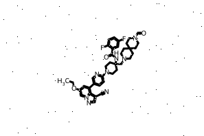 CCOc1cc(-c2ccc(N3CCC(CN4CCC5(CCN(C=O)CC5)CC4)(NC(=O)c4cc(F)ccc4F)CC3)nc2)c2c(C#N)cnn2c1